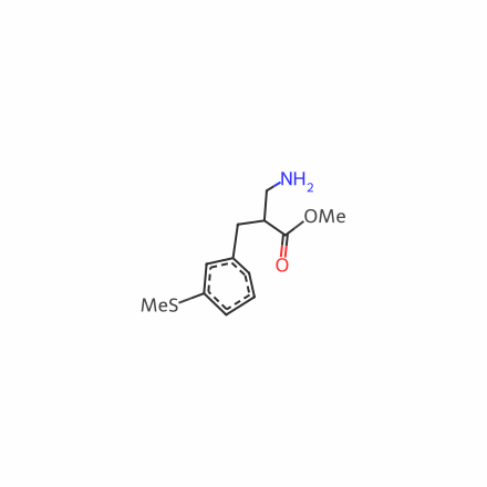 COC(=O)C(CN)Cc1cccc(SC)c1